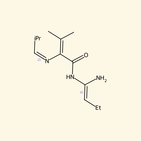 CC/C=C(\N)NC(=O)C(/N=C\C(C)C)=C(C)C